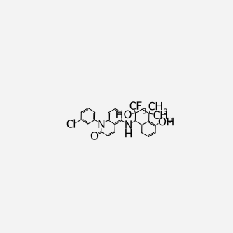 CC1(C)CC(O)(C(F)(F)F)C(Nc2cccc3c2ccc(=O)n3-c2cccc(Cl)c2)c2cccc(O)c21